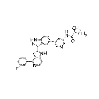 CC(C)C(=O)Nc1cncc(-c2ccc3[nH]nc(-c4cc5c(-c6cccc(F)c6)nccc5[nH]4)c3c2)c1